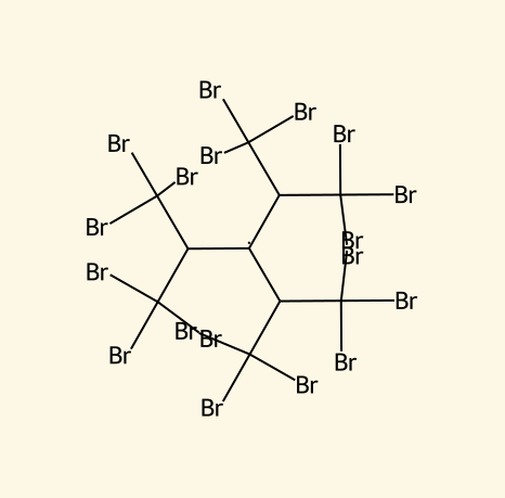 BrC(Br)(Br)C([C](C(C(Br)(Br)Br)C(Br)(Br)Br)C(C(Br)(Br)Br)C(Br)(Br)Br)C(Br)(Br)Br